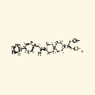 C/C=C(\CO)N1CCC2(CCN(C(=O)Cc3ccc(-n4cnnn4)nc3)CC2)CC1